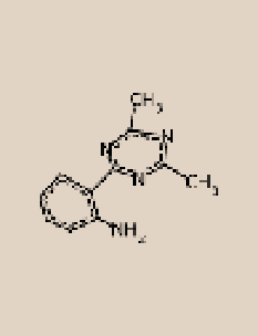 Cc1nc(C)nc(-c2ccccc2N)n1